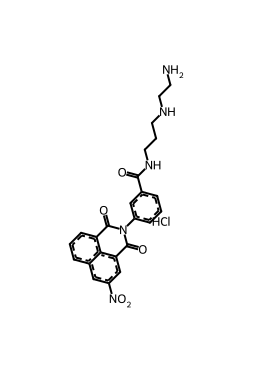 Cl.NCCNCCCNC(=O)c1cccc(N2C(=O)c3cccc4cc([N+](=O)[O-])cc(c34)C2=O)c1